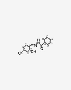 O=C(N/N=C/c1ccc(Cl)cc1O)c1ccccc1